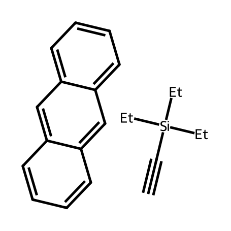 C#C[Si](CC)(CC)CC.c1ccc2cc3ccccc3cc2c1